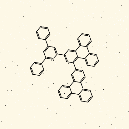 c1ccc(-c2cc(-c3ccccc3)nc(-c3cc(-c4ccc5c6ccccc6c6ccccc6c5c4)c4c5ccccc5c5ccccc5c4c3)c2)cc1